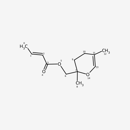 C/C=C/C(=O)OCC1(C)CCC(C)=CO1